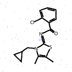 Cc1s/c(=N\C(=O)c2ccccc2Cl)n(CC2CC2)c1C